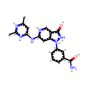 Cc1cc(Nc2cc3c(cn2)c(=O)[nH]n3-c2cccc(C(N)=O)c2)nc(C)n1